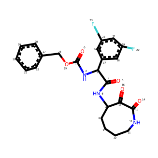 O=C(NC(C(=O)NC1CCCCNC(=O)C1=O)c1cc(F)cc(F)c1)OCc1ccccc1